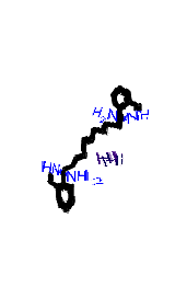 I.I.NC1(CCCCCCCCCCC2(N)NC=Cc3ccccc32)NC=Cc2ccccc21